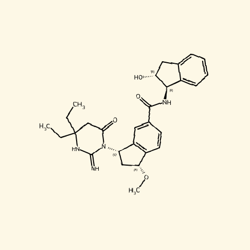 CCC1(CC)CC(=O)N([C@H]2C[C@@H](OC)c3ccc(C(=O)N[C@@H]4c5ccccc5C[C@H]4O)cc32)C(=N)N1